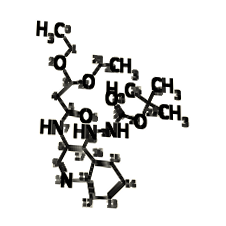 CCOC(CC(=O)Nc1cnc2ccccc2c1NNC(=O)OC(C)(C)C)OCC